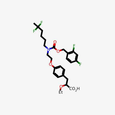 CCOC(Cc1ccc(OCCN(CCCCC(C)(F)F)C(=O)OCc2ccc(F)cc2F)cc1)C(=O)O